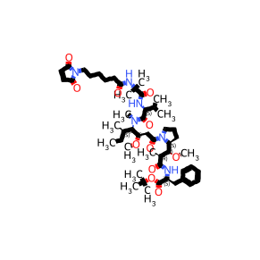 CC[C@H](C)[C@@H]([C@@H](CC(=O)N1CCC[C@H]1[C@H](OC)[C@@H](C)C(=O)N[C@@H](Cc1ccccc1)C(=O)OC(C)(C)C)OC)N(C)C(=O)[C@@H](NC(=O)C(C)(C)NC(=O)CCCCCN1C(=O)C=CC1=O)C(C)C